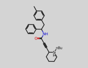 CCCC[SiH]1CCCCC1C#CC(=O)NC(Cc1ccc(C)cc1)c1ccccc1